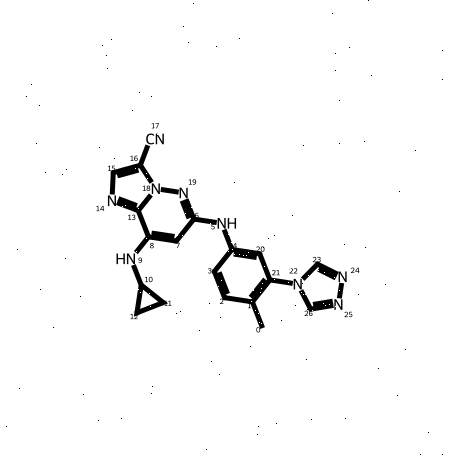 Cc1ccc(Nc2cc(NC3CC3)c3ncc(C#N)n3n2)cc1-n1cnnc1